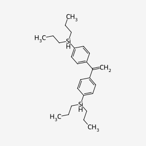 C=C(c1ccc([SiH](CCC)CCC)cc1)c1ccc([SiH](CCC)CCC)cc1